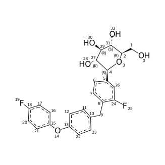 OC[C@H]1O[C@@H](c2ccc(Cc3ccc(Oc4ccc(F)cc4)cc3)c(F)c2)[C@H](O)[C@@H](O)[C@@H]1O